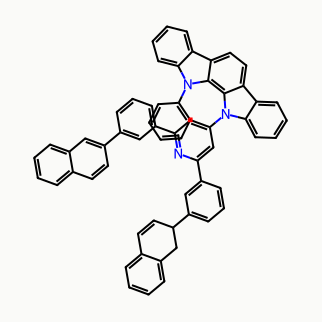 C1=CC(c2cccc(-c3cc(-n4c5ccccc5c5ccc6c7ccccc7n(-c7ccccc7)c6c54)cc(-c4cccc(-c5ccc6ccccc6c5)c4)n3)c2)Cc2ccccc21